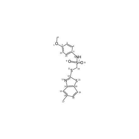 COc1ccc(NS(=O)(=O)CSc2nc3cc(C)ccc3s2)cc1